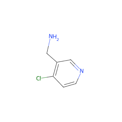 NCc1cnccc1Cl